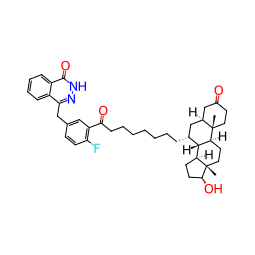 C[C@]12CCC(=O)C[C@@H]1C[C@@H](CCCCCCCC(=O)c1cc(Cc3n[nH]c(=O)c4ccccc34)ccc1F)[C@@H]1[C@@H]2CC[C@]2(C)[C@@H](O)CC[C@@H]12